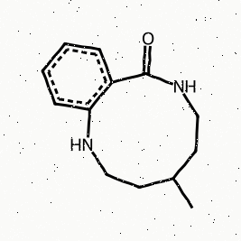 CC1CCNC(=O)c2ccccc2NCC1